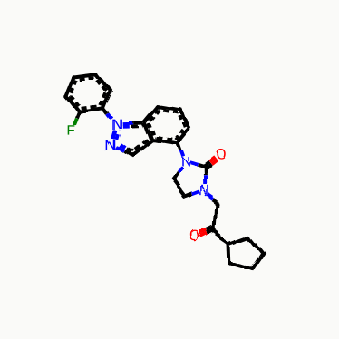 O=C(CN1CCN(c2cccc3c2cnn3-c2ccccc2F)C1=O)C1CCCC1